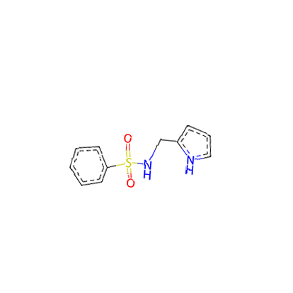 O=S(=O)(NCc1ccc[nH]1)c1ccccc1